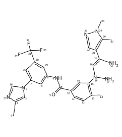 Cc1cn(-c2cc(NC(=O)c3ccc(C)c(N(N)/C=C(\N)c4cnn(C)c4C)c3)cc(C(F)(F)F)c2)cn1